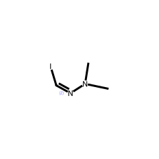 CN(C)/N=C\I